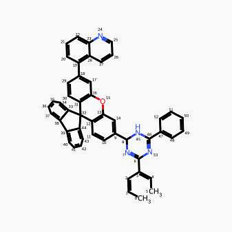 C/C=C\C(=C/C)C1=NC(c2ccc3c(c2)Oc2cc(-c4cccc5ncccc45)ccc2C32c3ccccc3-c3ccccc32)NC(c2ccccc2)=N1